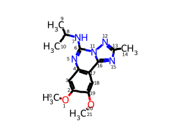 COc1cc2nc(NC(C)C)n3nc(C)nc3c2cc1OC